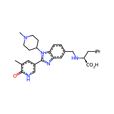 Cc1cc(-c2nc3cc(CN[C@@H](CC(C)C)C(=O)O)ccc3n2C2CCN(C)CC2)c[nH]c1=O